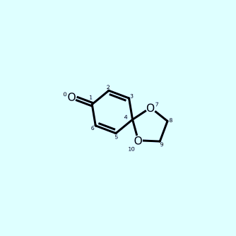 O=C1C=CC2(C=C1)OCCO2